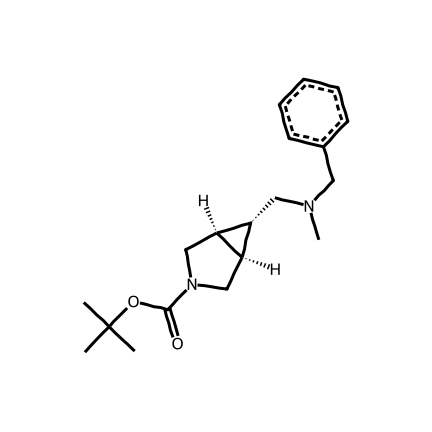 CN(Cc1ccccc1)C[C@@H]1[C@H]2CN(C(=O)OC(C)(C)C)C[C@@H]12